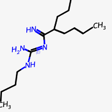 CCCCN/C(N)=N/C(=N)C(CCC)CCCC